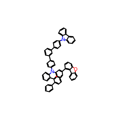 c1ccc(-c2ccccc2-c2ccccc2N(c2ccc(-c3cccc(-c4ccc(-n5c6ccccc6c6ccccc65)cc4)c3)cc2)c2cccc(-c3cccc4oc5ccccc5c34)c2)cc1